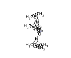 CCCCCN(CCCOC(=O)/C=C\C(=O)OCCCN1CCc2cc(OC)c(OC)cc2[C@H]1Cc1cc(OC)c(OC)c(OC)c1)Cc1cc(OC)c(OC)c(OC)c1